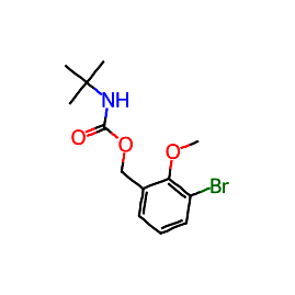 COc1c(Br)cccc1COC(=O)NC(C)(C)C